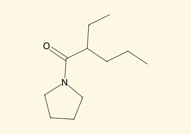 CCCC(CC)C(=O)N1CCCC1